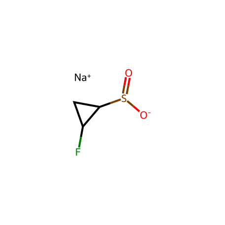 O=S([O-])C1CC1F.[Na+]